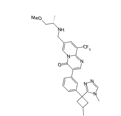 COC[C@H](C)NCc1cc(C(F)(F)F)c2ncc(-c3cccc(C4(c5nncn5C)CC(C)C4)c3)c(=O)n2c1